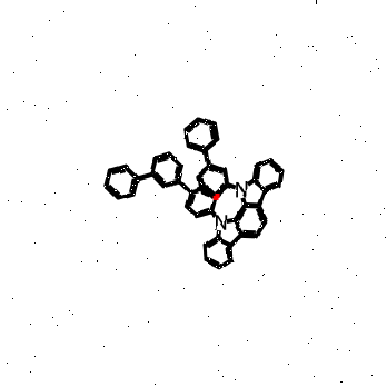 c1ccc(-c2cccc(-c3ccc(-n4c5ccccc5c5ccc6c7ccccc7n(-c7cccc(-c8ccccc8)c7)c6c54)cc3)c2)cc1